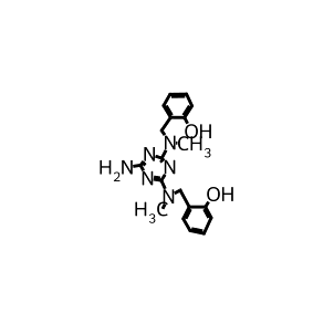 CN(Cc1ccccc1O)c1nc(N)nc(N(C)Cc2ccccc2O)n1